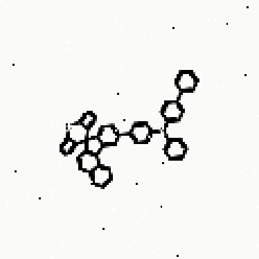 c1ccc(-c2ccc(N(c3ccccc3)c3ccc(-c4ccc5c(c4)-c4c(ccc6ccccc46)C54c5ccccc5Oc5ccccc54)cc3)cc2)cc1